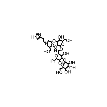 CC(C)C1OC(COC2OC(CO)C(O)C(OC3CN(CCc4c[nH]cn4)CC(CO)O3)C2O)C(O)C(OC2OC(CO)C(O)C(O)C2O)C1O